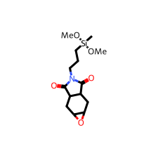 CO[Si](C)(CCCN1C(=O)C2CC3OC3CC2C1=O)OC